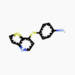 Nc1ccc(Sc2ccnc3ccsc23)cc1